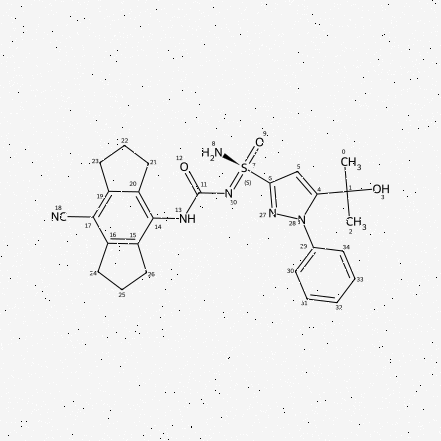 CC(C)(O)c1cc([S@@](N)(=O)=NC(=O)Nc2c3c(c(C#N)c4c2CCC4)CCC3)nn1-c1ccccc1